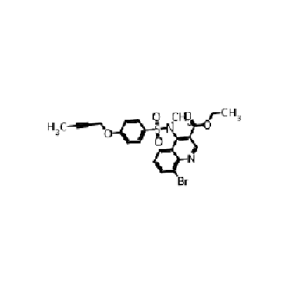 CC#CCOc1ccc(S(=O)(=O)N(C)c2c(C(=O)OCC)cnc3c(Br)cccc23)cc1